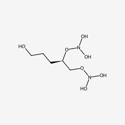 OCCC[C@H](CON(O)O)ON(O)O